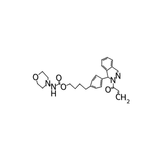 C=CC(=O)N1N=Cc2ccccc2C1c1ccc(CCCCOC(=O)NN2CCOCC2)cc1